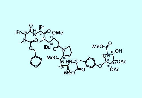 CCC(C)[C@@H]([C@@H](CC(=O)N1CCC[C@H]1[C@H](OC)[C@@H](C)C(=O)N[C@H](Cc1ccc(O[C@H]2O[C@@H](C(=O)OC)[C@H](O)[C@@H](OC(C)=O)[C@@H]2OC(C)=O)cc1)C(=O)OC)OC)N(C)C(=O)[C@@H](NC(=O)[C@H](C(C)C)N(C)C(=O)OCc1ccccc1)C(C)C